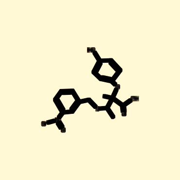 CC(SCc1cccc([N+](=O)[O-])c1)C(C)(Oc1ccc(O)cc1)C(=O)O